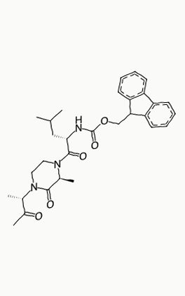 CC(=O)[C@H](C)N1CCN(C(=O)[C@H](CC(C)C)NC(=O)OCC2c3ccccc3-c3ccccc32)[C@@H](C)C1=O